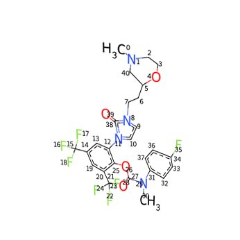 CN1CCOC(CCn2ccn(-c3cc(C(F)(F)F)cc(C(F)(F)F)c3OC(=O)N(C)c3ccc(F)cc3)c2=O)C1